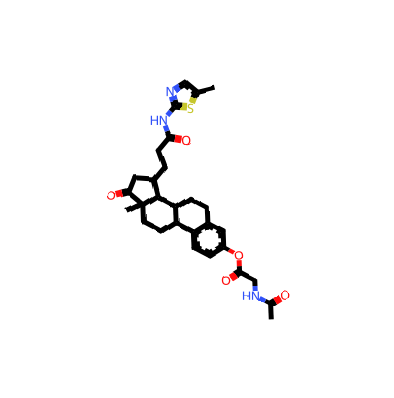 CC(=O)NCC(=O)Oc1ccc2c(c1)CCC1C2CCC2(C)C(=O)CC(CCC(=O)Nc3ncc(C)s3)C12